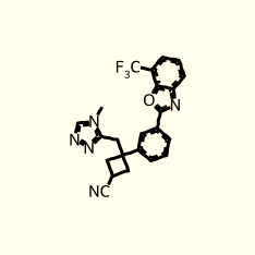 Cn1cnnc1CC1(c2cccc(-c3nc4cccc(C(F)(F)F)c4o3)c2)CC(C#N)C1